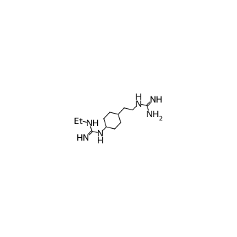 CCNC(=N)NC1CCC(CCNC(=N)N)CC1